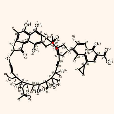 CO[C@H]1/C=C/O[C@@]2(C)Oc3c(C)c(O)c4c(O)c(c(CN(C)C5CCN(c6c(F)cn7c(=O)c(C(=O)O)cc(C8CC8)c7c6C)C5)c(O)c4c3C2=O)NC(=O)/C(C)=C\C=C\[C@H](C)[C@H](O)[C@@H](C)[C@@H](O)[C@@H](C)[C@H](OC(C)=O)[C@@H]1C